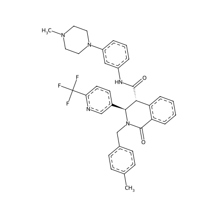 Cc1ccc(CN2C(=O)c3ccccc3[C@@H](C(=O)Nc3cccc(N4CCN(C)CC4)c3)[C@@H]2c2ccc(C(F)(F)F)nc2)cc1